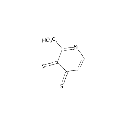 O=C(O)C1=NC=CC(=S)C1=S